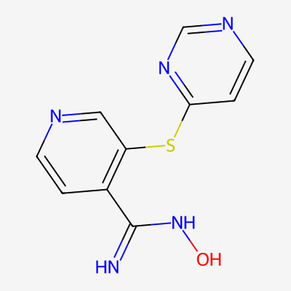 N=C(NO)c1ccncc1Sc1ccncn1